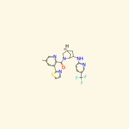 Cc1cnc(C(=O)N2C[C@H]3CC(Nc4ccc(C(F)(F)F)cn4)C2C3)c(-c2nccs2)c1